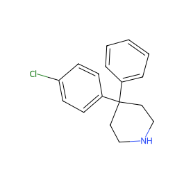 Clc1ccc(C2(c3ccccc3)CCNCC2)cc1